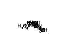 CCCN(CC1CC1)c1cc(C(=O)Nc2ccc(CNCC(C)=O)cc2C)ncn1